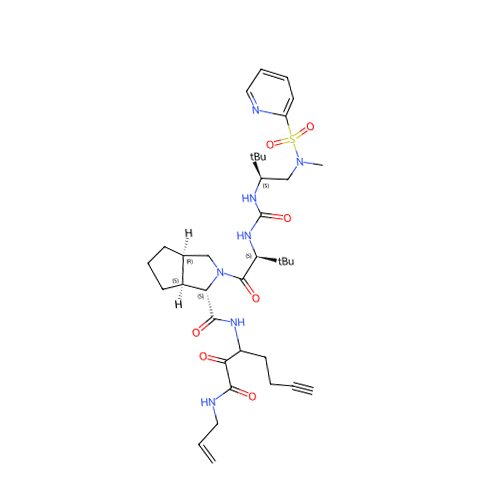 C#CCCC(NC(=O)[C@@H]1[C@H]2CCC[C@H]2CN1C(=O)[C@@H](NC(=O)N[C@H](CN(C)S(=O)(=O)c1ccccn1)C(C)(C)C)C(C)(C)C)C(=O)C(=O)NCC=C